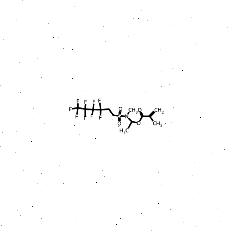 C=C(C)C(=O)OC(C)N(C)S(=O)(=O)CCC(F)(F)C(F)(F)C(F)(F)C(F)(F)F